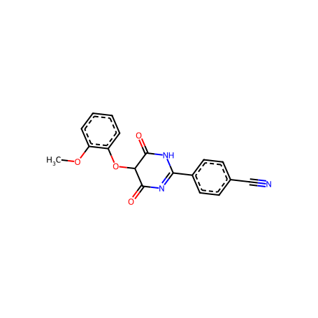 COc1ccccc1OC1C(=O)N=C(c2ccc(C#N)cc2)NC1=O